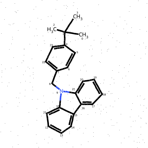 CC(C)(C)c1ccc(Cn2c3ccccc3c3ccccc32)cc1